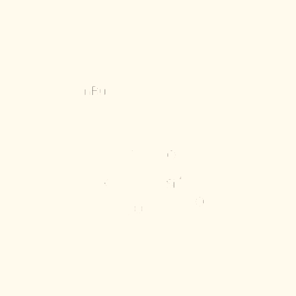 CCCCCCO[Si](=O)[O-].[K+]